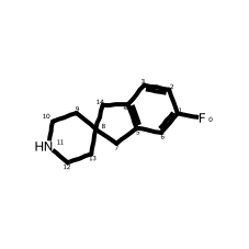 Fc1ccc2c(c1)CC1(CCNCC1)C2